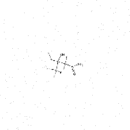 NC(=O)C(F)(F)C(O)(CF)C(F)(F)F